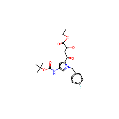 CCOC(=O)C(=O)CC(=O)c1cc(NC(=O)OC(C)(C)C)cn1Cc1ccc(F)cc1